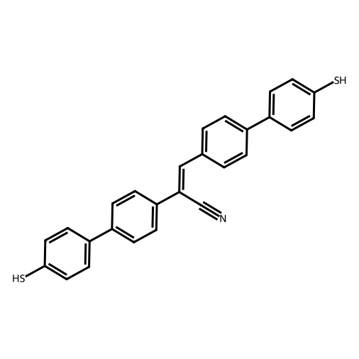 N#C/C(=C\c1ccc(-c2ccc(S)cc2)cc1)c1ccc(-c2ccc(S)cc2)cc1